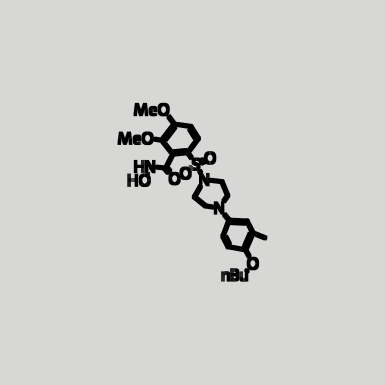 CCCCOc1ccc(N2CCN(S(=O)(=O)c3ccc(OC)c(OC)c3C(=O)NO)CC2)cc1C